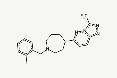 Cc1ccccc1CN1CCCN(c2ccc3nnc(C(F)(F)F)n3n2)CC1